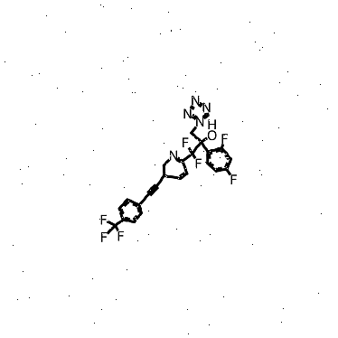 OC(Cn1cnnn1)(c1ccc(F)cc1F)C(F)(F)C1=NCC(C#Cc2ccc(C(F)(F)F)cc2)C=C1